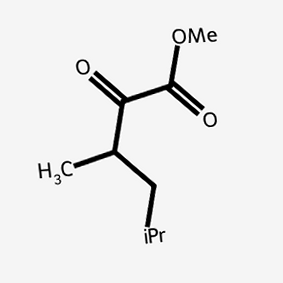 COC(=O)C(=O)C(C)CC(C)C